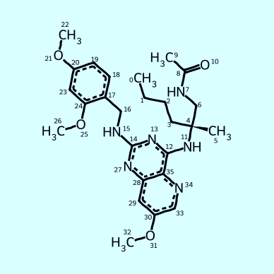 CCCC[C@](C)(CNC(C)=O)Nc1nc(NCc2ccc(OC)cc2OC)nc2cc(OC)cnc12